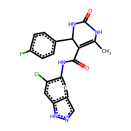 CC1=C(C(=O)Nc2cc3cn[nH]c3cc2Cl)C(c2ccc(F)cc2)NC(=O)N1